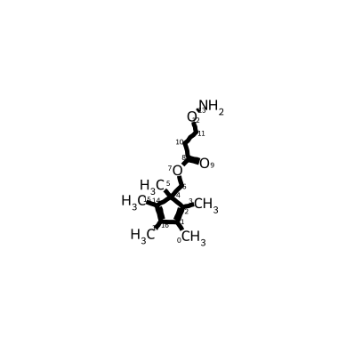 CC1=C(C)C(C)(COC(=O)CCON)C(C)=C1C